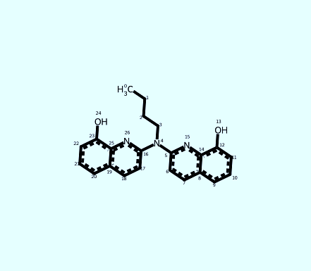 CCCCN(c1ccc2cccc(O)c2n1)c1ccc2cccc(O)c2n1